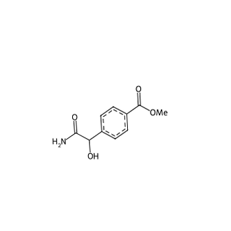 COC(=O)c1ccc(C(O)C(N)=O)cc1